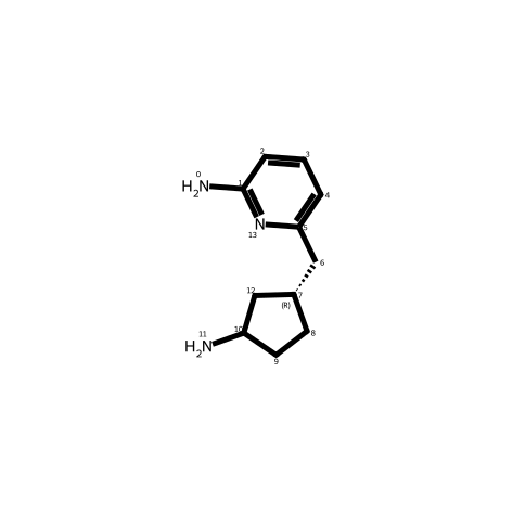 Nc1cccc(C[C@@H]2CCC(N)C2)n1